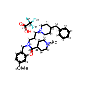 COc1ccc(CN(CCCN2CCC(Cc3ccccc3)CC2)C(=O)C2CCN(C(C)=O)CC2)cc1.O=C(O)C(F)(F)F